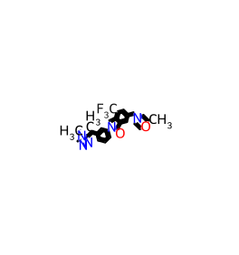 C[C@@H](c1cccc(N2Cc3c(cc(CN4CCO[C@H](C)C4)cc3C(F)(F)F)C2=O)c1)c1nncn1C